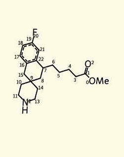 COC(=O)CCCCC1CC2(CCNCC2)Cc2ccc(F)cc21